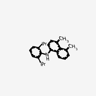 Cc1cccc2c(Nc3c(C(C)C)cccc3C(C)C)ccc(C)c12